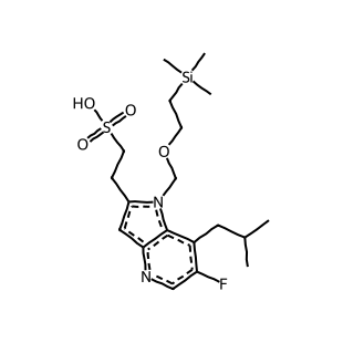 CC(C)Cc1c(F)cnc2cc(CCS(=O)(=O)O)n(COCC[Si](C)(C)C)c12